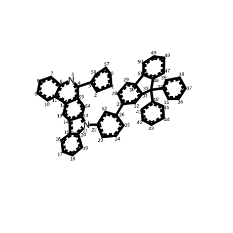 c1ccc(-c2nc3ccccc3c3cc4c5ccccc5n(-c5cccc(-c6ccc7c(c6)C(c6ccccc6)(c6ccccc6)c6ccccc6-7)c5)c4cc23)cc1